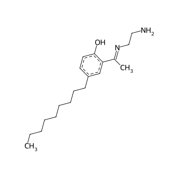 CCCCCCCCCc1ccc(O)c(C(C)=NCCN)c1